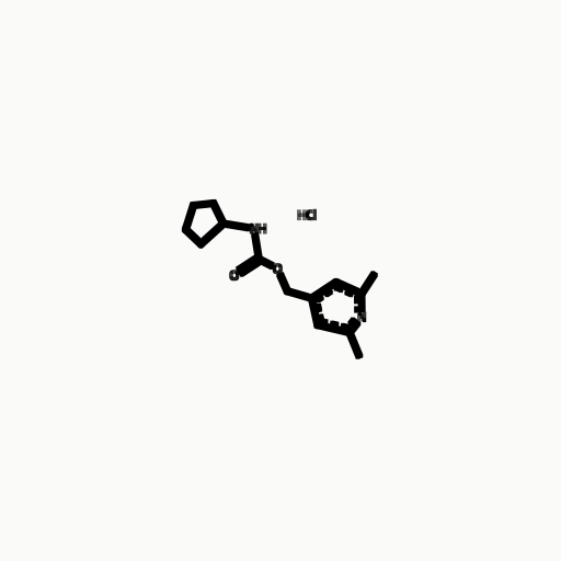 Cc1cc(COC(=O)NC2CCCC2)cc(C)n1.Cl